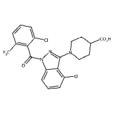 O=C(O)C1CCN(c2nn(C(=O)c3c(Cl)cccc3C(F)(F)F)c3cccc(Cl)c23)CC1